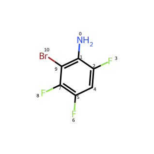 Nc1c(F)cc(F)c(F)c1Br